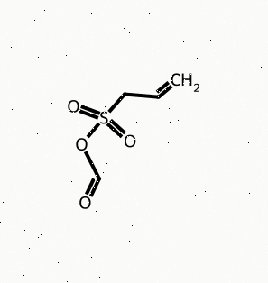 C=CCS(=O)(=O)OC=O